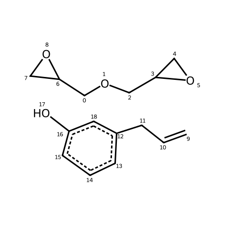 C(OCC1CO1)C1CO1.C=CCc1cccc(O)c1